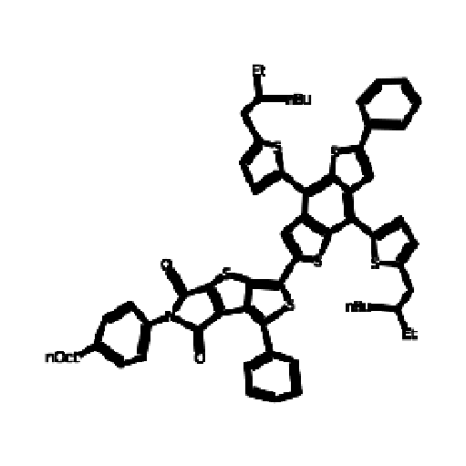 CCCCCCCCc1ccc(N2C(=O)c3sc4c(-c5cc6c(-c7ccc(CC(CC)CCCC)s7)c7sc(-c8ccccc8)cc7c(-c7ccc(CC(CC)CCCC)s7)c6s5)sc(-c5ccccc5)c4c3C2=O)cc1